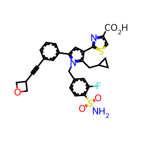 NS(=O)(=O)c1ccc(Cn2c(-c3cccc(C#CC4COC4)c3)cc(-c3nc(C(=O)O)cs3)c2CC2CC2)cc1F